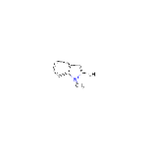 C=[N+]1C(C)=Cc2ccccc21